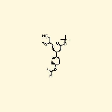 COC(C=N[C@@H](CC(=O)OC(C)(C)C)c1ccc(OC(F)F)nc1)CO